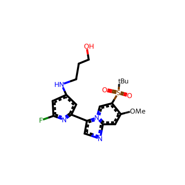 COc1cc2ncc(-c3cc(NCCCO)cc(F)n3)n2cc1S(=O)(=O)C(C)(C)C